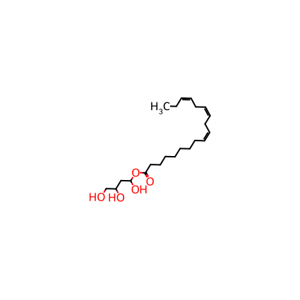 CC/C=C\C/C=C\C/C=C\CCCCCCCC(=O)OC(O)CC(O)CO